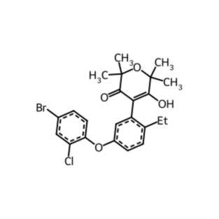 CCc1ccc(Oc2ccc(Br)cc2Cl)cc1C1=C(O)C(C)(C)OC(C)(C)C1=O